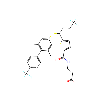 Cc1cc(SC(CCC(F)(F)F)c2ccc(C(=O)NCCC(=O)O)s2)cc(C)c1-c1ccc(C(F)(F)F)cc1